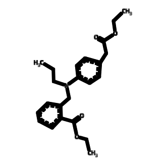 CCCN(Cc1ccccc1C(=O)OCC)c1ccc(CC(=O)OCC)cc1